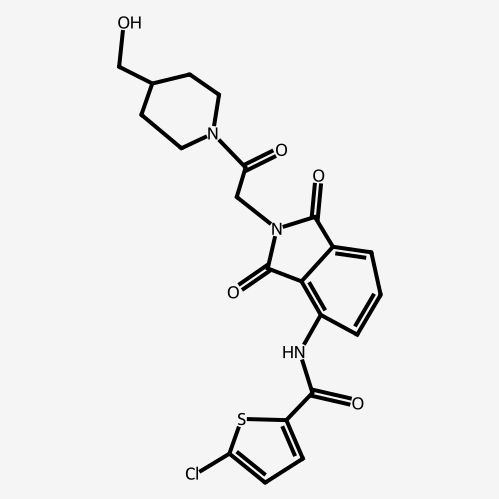 O=C(Nc1cccc2c1C(=O)N(CC(=O)N1CCC(CO)CC1)C2=O)c1ccc(Cl)s1